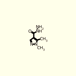 Cc1c(C(=O)NN)cnn1C